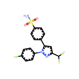 NS(=O)(=O)c1ccc(-c2cc(C(F)F)nn2-c2ccc(F)cc2)cc1